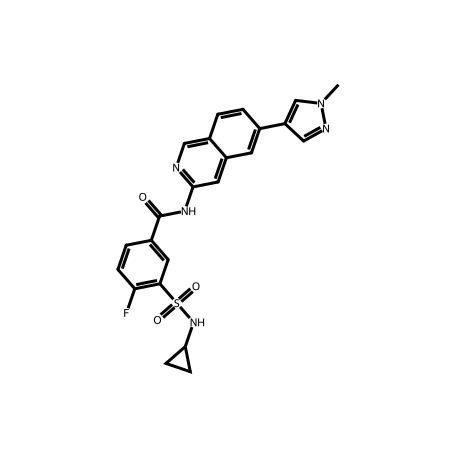 Cn1cc(-c2ccc3cnc(NC(=O)c4ccc(F)c(S(=O)(=O)NC5CC5)c4)cc3c2)cn1